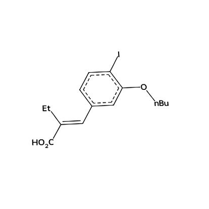 CCCCOc1cc(/C=C(\CC)C(=O)O)ccc1I